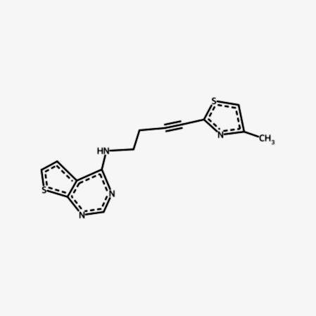 Cc1csc(C#CCCNc2ncnc3sccc23)n1